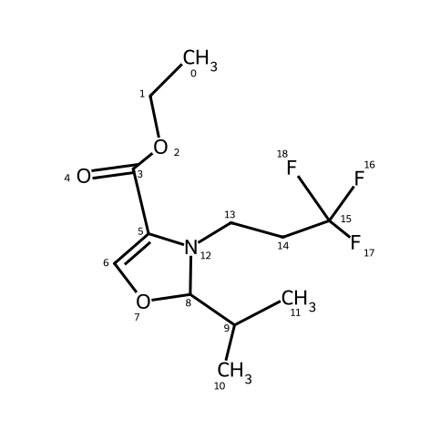 CCOC(=O)C1=COC(C(C)C)N1CCC(F)(F)F